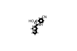 N#Cc1ccc(NC(=O)c2cc3cccn3cn2)c(C(=O)O)c1